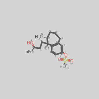 CCC[C@@H](O)CC[C@@]1(CC)c2ccc(OS(=O)(=O)C(F)(F)F)cc2CCC[C@H]1C